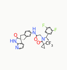 C[C@H](c1cc(F)cc(F)c1)N(CC(=O)Nc1ccc2c(c1)C[C@@]1(C2)C(=O)Nc2ncccc21)C(=O)C1(C(F)(F)F)CC1